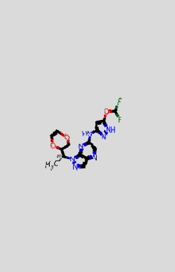 C[C@H](C1COCCO1)n1ncc2ncc(Nc3cc(OC(F)F)[nH]n3)nc21